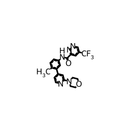 Cc1ccc(NC(=O)c2cc(C(F)(F)F)cnn2)cc1-c1ccnc(N2CCOCC2)c1